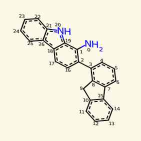 Nc1c(-c2cccc3c2Cc2ccccc2-3)ccc2c1[nH]c1ccccc12